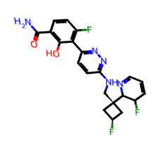 NC(=O)c1ccc(F)c(-c2ccc(NC[C@]3(C4N=CC=CC4F)C[C@H](F)C3)nn2)c1O